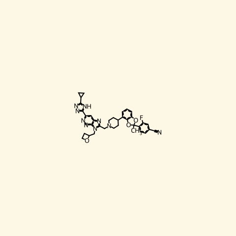 CC1(c2ccc(C#N)cc2F)Oc2cccc(C3CCN(Cc4nc5cc(-c6nnc(C7CC7)[nH]6)nnc5n4CC4CCO4)CC3)c2O1